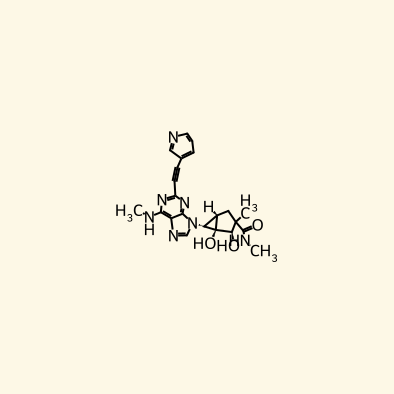 CNC(=O)C1(C)C[C@H]2[C@@H](n3cnc4c(NC)nc(C#Cc5cccnc5)nc43)[C@@]2(O)[C@@H]1O